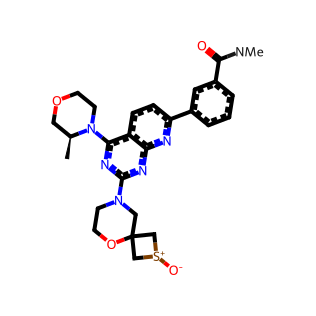 CNC(=O)c1cccc(-c2ccc3c(N4CCOC[C@@H]4C)nc(N4CCOC5(C4)C[S+]([O-])C5)nc3n2)c1